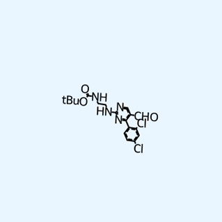 CC(C)(C)OC(=O)NCCNc1ncc(C=O)c(-c2ccc(Cl)cc2Cl)n1